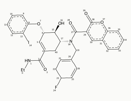 CCNC(=O)C1=C[C@H](Oc2ccccc2I)[C@@H](O)[C@H](N(CC2=CCC(F)C=C2)C(=O)c2cc3ccccc3oc2=O)C1